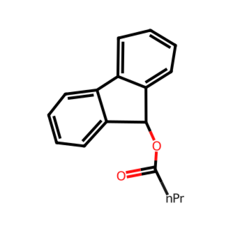 CCCC(=O)OC1c2ccccc2-c2ccccc21